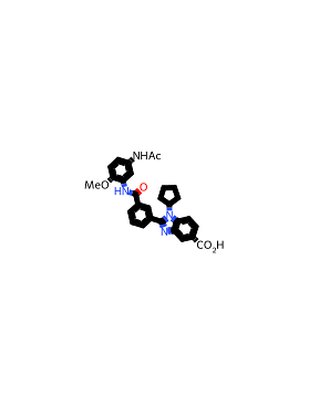 COc1ccc(NC(C)=O)cc1NC(=O)c1cccc(-c2nc3cc(C(=O)O)ccc3n2C2CCCC2)c1